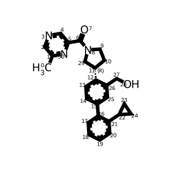 Cc1cncc(C(=O)N2CC[C@H](c3ccc(-c4ccccc4C4CC4)cc3CO)C2)n1